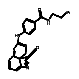 CC(C)CCNC(=O)c1ccc(NC2=NCC34CC(=O)CC=NC3=CC=CC4=N2)cc1